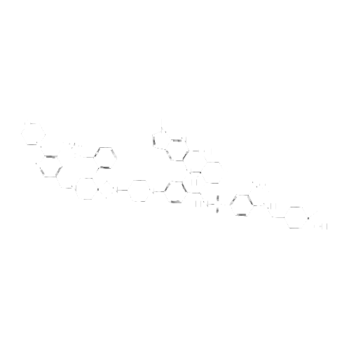 COc1cc(CN2CCC3(CN(C4CCN(c5ccc(C(=O)NS(=O)(=O)c6ccc(NCC7CCC(C)(O)CC7)c([N+](=O)[O-])c6)c(N6c7cc8cc[nH]c8nc7O[C@H]7COCC[C@@H]76)c5)CC4)C3)[C@H](c3ccccc3C(C)C)C2)cnc1N1CCOCC1